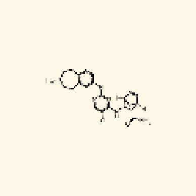 NC(=O)[C@@H]1[C@H](Nc2nc(Nc3ccc4c(c3)CCC(O)CC4)ncc2Cl)[C@H]2C=C[C@@H]1C2